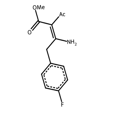 COC(=O)C(C(C)=O)=C(N)Cc1ccc(F)cc1